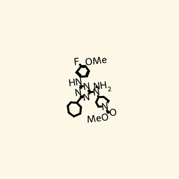 COC(=O)N1CCC(N(N)c2nc(Nc3ccc(OC)c(F)c3)nc(C3CCCCCC3)n2)CC1